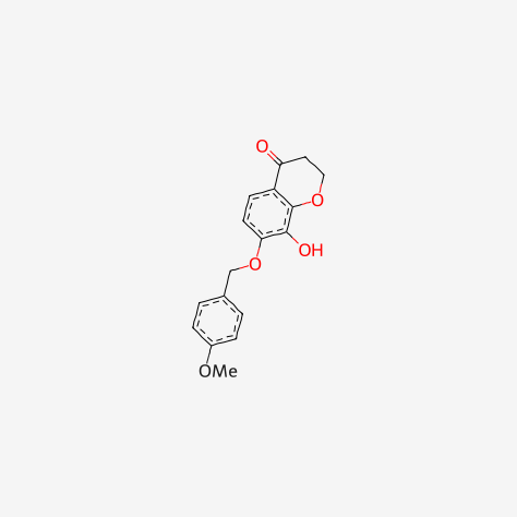 COc1ccc(COc2ccc3c(c2O)OCCC3=O)cc1